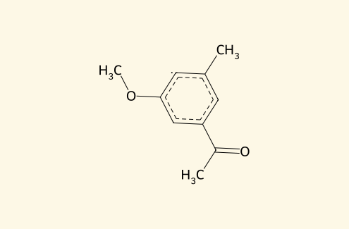 COc1[c]c(C)cc(C(C)=O)c1